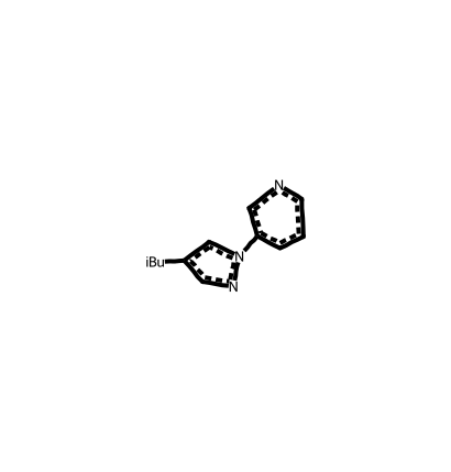 CCC(C)c1cnn(-c2cccnc2)c1